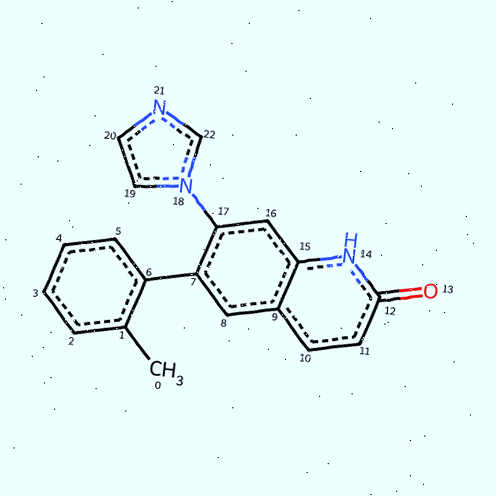 Cc1ccccc1-c1cc2ccc(=O)[nH]c2cc1-n1ccnc1